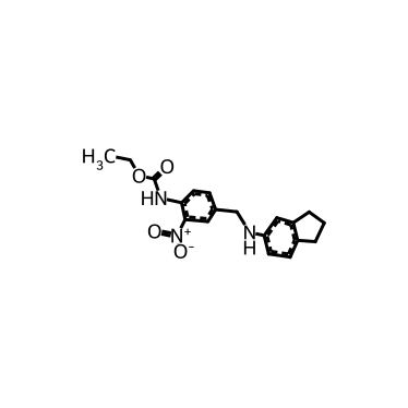 CCOC(=O)Nc1ccc(CNc2ccc3c(c2)CCC3)cc1[N+](=O)[O-]